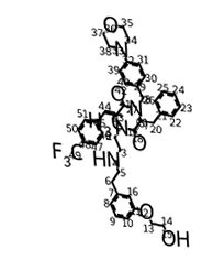 CN(CCNCCc1cccc(OCCO)c1)C(=O)[C@H](Cc1ccccc1)N(Cc1ccc(N2CCOCC2)cc1)C(=O)C=Cc1ccc(C(F)(F)F)cc1